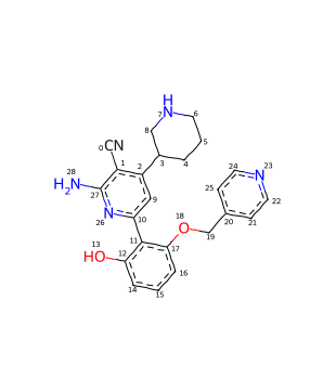 N#Cc1c(C2CCCNC2)cc(-c2c(O)cccc2OCc2ccncc2)nc1N